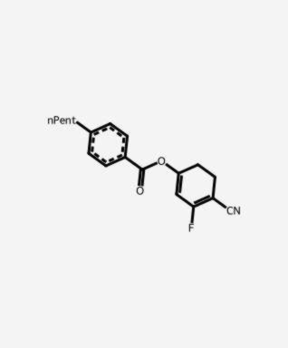 CCCCCc1ccc(C(=O)OC2=CC(F)=C(C#N)CC2)cc1